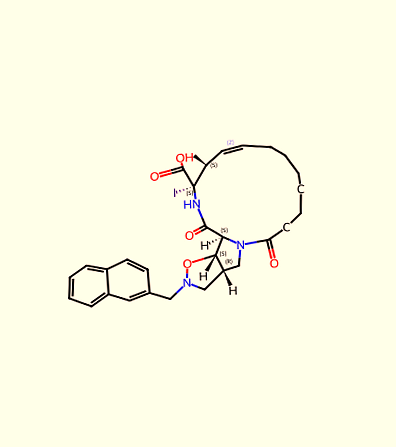 C[C@H]1/C=C\CCCCCCC(=O)N2C[C@@H]3CN(Cc4ccc5ccccc5c4)O[C@@H]3[C@H]2C(=O)N[C@@]1(I)C(=O)O